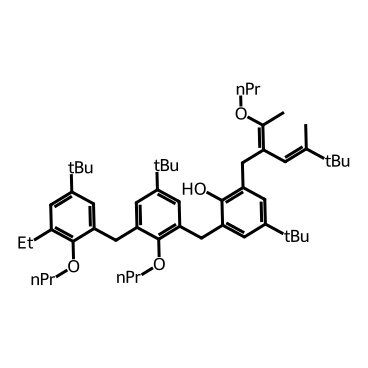 CCCO/C(C)=C(/C=C(\C)C(C)(C)C)Cc1cc(C(C)(C)C)cc(Cc2cc(C(C)(C)C)cc(Cc3cc(C(C)(C)C)cc(CC)c3OCCC)c2OCCC)c1O